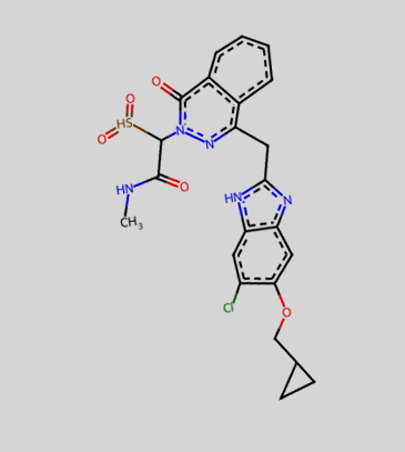 CNC(=O)C(n1nc(Cc2nc3cc(OCC4CC4)c(Cl)cc3[nH]2)c2ccccc2c1=O)[SH](=O)=O